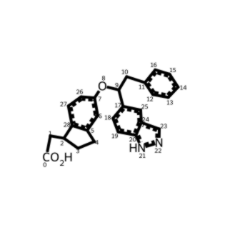 O=C(O)CC1CCc2cc(OC(Cc3ccccc3)c3ccc4[nH]ncc4c3)ccc21